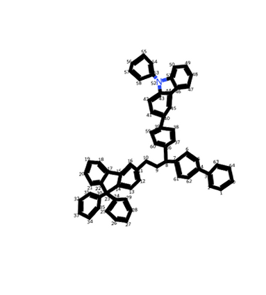 c1ccc(-c2ccc(C(CCc3ccc4c(c3)-c3ccccc3C4(c3ccccc3)c3ccccc3)c3ccc(-c4ccc5c(c4)c4ccccc4n5-c4ccccc4)cc3)cc2)cc1